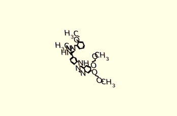 CCOc1ccccc1CN1C=C(c2cccc(Nc3ncnc4cc(OCCOC)c(OCCOC)cc34)c2)NN1C